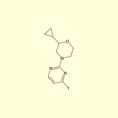 Ic1ccnc(N2CCOC(C3CC3)C2)n1